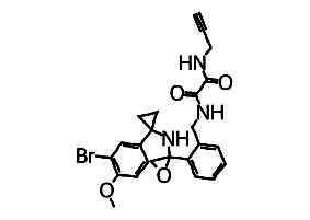 C#CCNC(=O)C(=O)NCc1ccccc1C1(NC2(c3ccc(OC)c(Br)c3)CC2)CO1